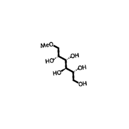 COC[C@@H](O)[C@H](O)[C@H](O)[C@H](O)CO